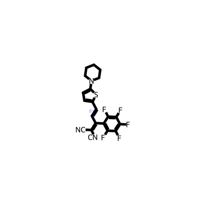 N#CC(C#N)=C(/C=C/c1ccc(N2CCCCC2)s1)c1c(F)c(F)c(F)c(F)c1F